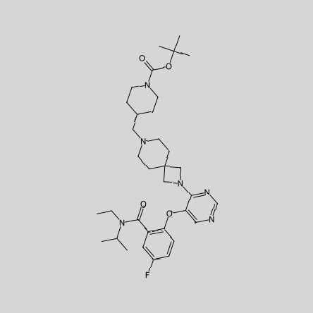 CCN(C(=O)c1cc(F)ccc1Oc1cncnc1N1CC2(CCN(CC3CCN(C(=O)OC(C)(C)C)CC3)CC2)C1)C(C)C